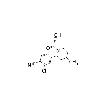 C#CC(=O)N1CCC(C)CC1c1ccc(C#N)c(Cl)c1